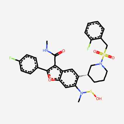 CNC(=O)c1c(-c2ccc(F)cc2)oc2cc(N(C)SO)c([C@H]3CCCN(S(=O)(=O)Cc4ccccc4F)C3)cc12